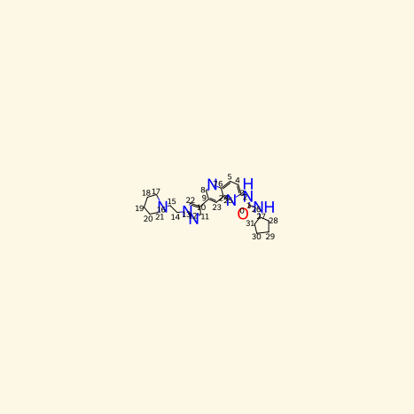 O=C(Nc1ccc2ncc(-c3cnn(CCN4CCCCC4)c3)cc2n1)NC1CCCC1